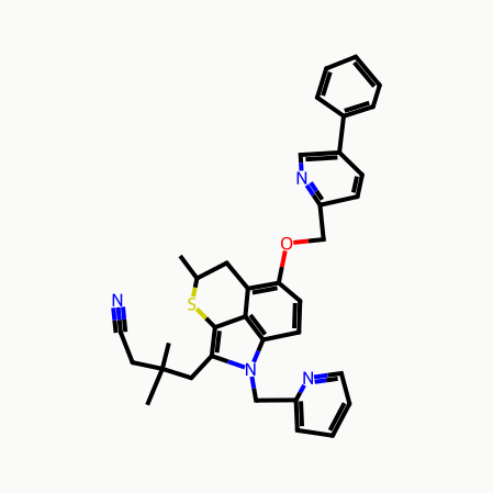 CC1Cc2c(OCc3ccc(-c4ccccc4)cn3)ccc3c2c(c(CC(C)(C)CC#N)n3Cc2ccccn2)S1